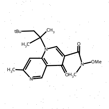 CON(C)C(=O)c1cn(C(C)(C)CC(C)(C)C)c2cc(C)ncc2c1=O